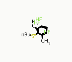 CCCCSc1c(C)cccc1C.F.F.F